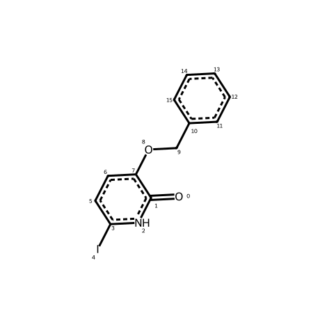 O=c1[nH]c(I)ccc1OCc1ccccc1